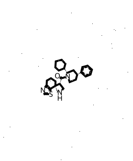 O=C([C@@H]1CNC[C@]12CCCc1ncsc12)N1CC[C@@H](c2ccccc2)C[C@H]1C1CCCCC1